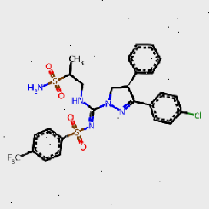 CC(CN/C(=N\S(=O)(=O)c1ccc(C(F)(F)F)cc1)N1C[C@@H](c2ccccc2)C(c2ccc(Cl)cc2)=N1)S(N)(=O)=O